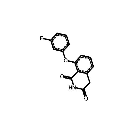 O=C1Cc2cccc(Oc3cccc(F)c3)c2C(=O)N1